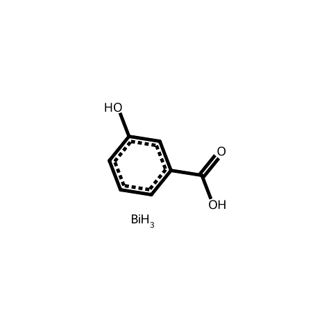 O=C(O)c1cccc(O)c1.[BiH3]